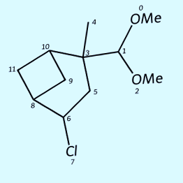 COC(OC)C1(C)CC(Cl)C2CC1C2